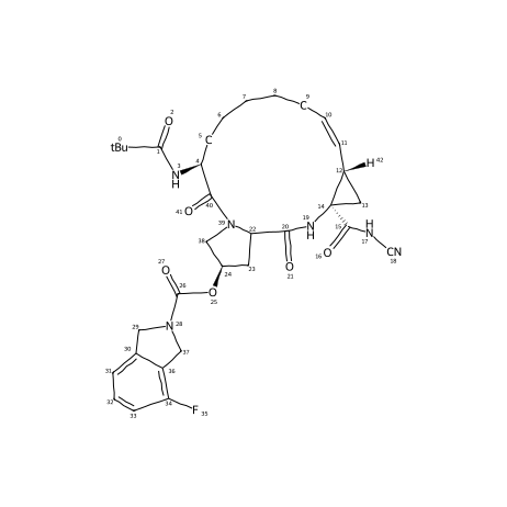 CC(C)(C)C(=O)N[C@H]1CCCCC/C=C\[C@@H]2C[C@@]2(C(=O)NC#N)NC(=O)C2C[C@@H](OC(=O)N3Cc4cccc(F)c4C3)CN2C1=O